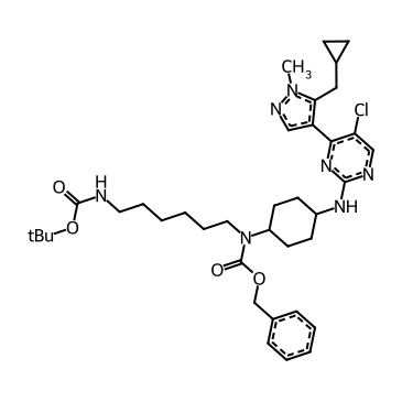 Cn1ncc(-c2nc(NC3CCC(N(CCCCCCNC(=O)OC(C)(C)C)C(=O)OCc4ccccc4)CC3)ncc2Cl)c1CC1CC1